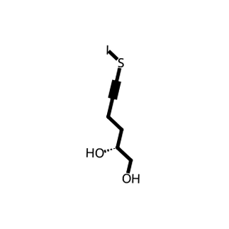 OC[C@H](O)CCC#CSI